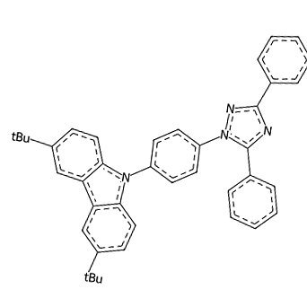 CC(C)(C)c1ccc2c(c1)c1cc(C(C)(C)C)ccc1n2-c1ccc(-n2nc(-c3ccccc3)nc2-c2ccccc2)cc1